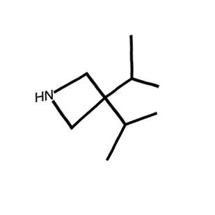 CC(C)C1(C(C)C)CNC1